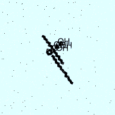 C1CCCCC1.CCCCCCCCCCCCCCCCCC.CCCCCCCCCCCCCCCCCC.O=C(O)O.O=C(O)O